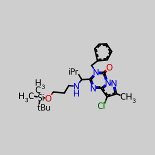 Cc1nn2c(=O)n(Cc3ccccc3)c(C(NCCCO[Si](C)(C)C(C)(C)C)C(C)C)nc2c1Cl